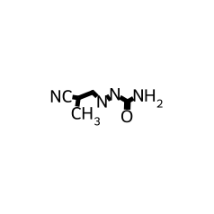 CC(C#N)CN=NC(N)=O